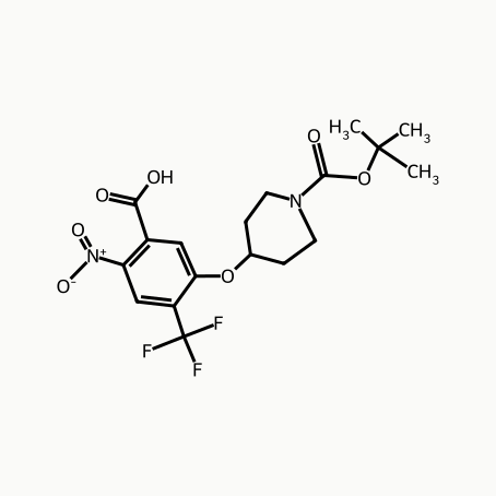 CC(C)(C)OC(=O)N1CCC(Oc2cc(C(=O)O)c([N+](=O)[O-])cc2C(F)(F)F)CC1